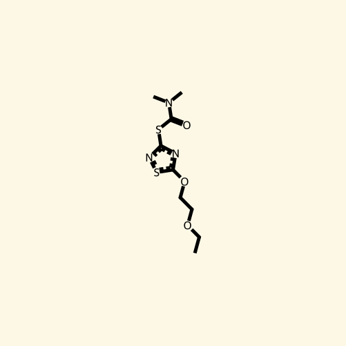 CCOCCOc1nc(SC(=O)N(C)C)ns1